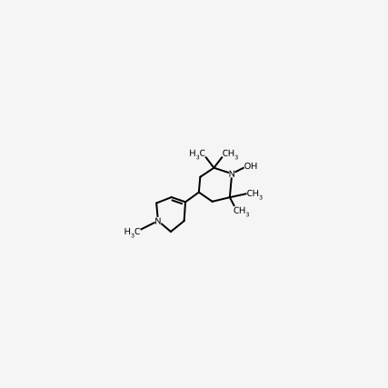 CN1CC=C(C2CC(C)(C)N(O)C(C)(C)C2)CC1